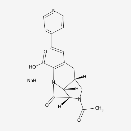 CC(=O)N1C[C@H]2CC(/C=C/c3ccncc3)=C(C(=O)O)N3C(=O)[C@@H]1[C@@H]23.[NaH]